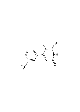 CCCc1[nH]c(=O)nc(-c2cccc(C(F)(F)F)c2)c1C